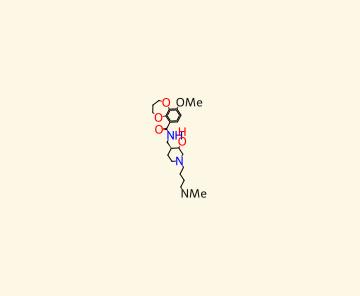 CNCCCCN1CC[C@@H](CNC(=O)c2ccc(OC)c3c2OCCCO3)C(O)C1